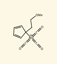 COCC[C]1([MoH](=[C]=O)(=[C]=O)=[C]=O)C=CC=C1